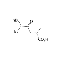 CCCCC(CC)C(=O)C=C(C)C(=O)O